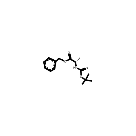 C[C@H](NC(=O)OC(C)(C)C)C(=O)OCc1ccccc1